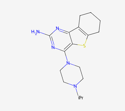 CC(C)N1CCN(c2nc(N)nc3c4c(sc23)CCCC4)CC1